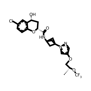 C[C@H](COc1cnn(C23CC(NC(=O)[C@H]4C[C@@H](O)c5cc(Cl)ccc5O4)(C2)C3)c1)OC(F)(F)F